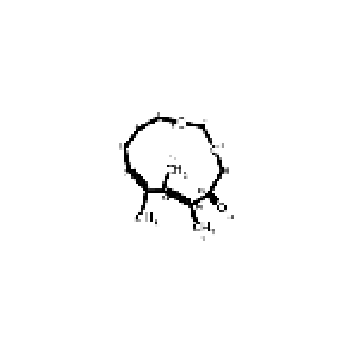 CC1=C/CCCCCCCC(=O)\C(C)=C\1C